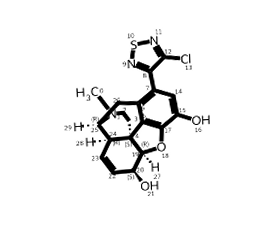 CN1CC[C@]23c4c5c(-c6nsnc6Cl)cc(O)c4O[C@H]2[C@@H](O)C=C[C@H]3[C@H]1C5